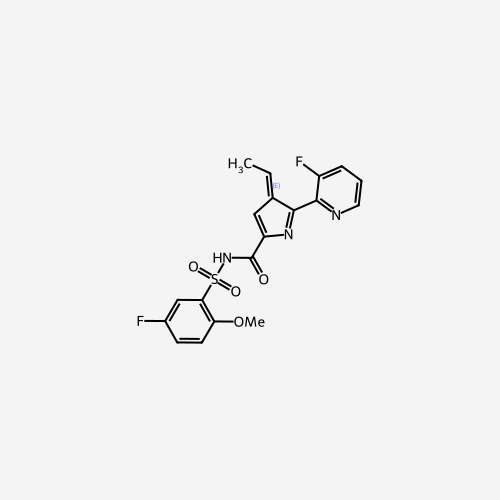 C/C=C1\C=C(C(=O)NS(=O)(=O)c2cc(F)ccc2OC)N=C1c1ncccc1F